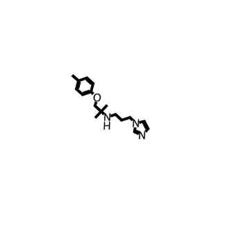 Cc1ccc(OCC(C)(C)NCCCn2ccnc2)cc1